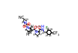 N#CC1CN(S(=O)(=O)N2C[C@H]3C[C@H](C(=O)N4CCC[C@@H]4C(=O)NCc4ccc(C(F)(F)F)cc4F)[C@@H]2C3)C1